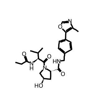 CCC(=O)N[C@H](C(=O)N1C[C@H](O)C[C@H]1C(=O)NCc1ccc(-c2ocnc2C)cc1)C(C)C